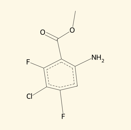 COC(=O)c1c(N)cc(F)c(Cl)c1F